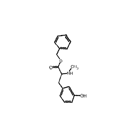 CNC(Cc1cccc(O)c1)C(=O)OCc1ccccc1